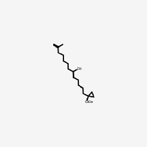 C=C(C)CCCCCC(O)CCCCCC1(OC)CC1